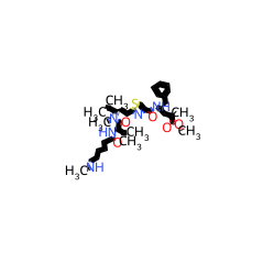 CNCCCCCC(=O)N[C@H](C(=O)N(C)[C@H](CCc1nc(C(=O)N[C@@H](Cc2ccccc2)C[C@H](C)C(=O)OC)cs1)C(C)C)C(C)C